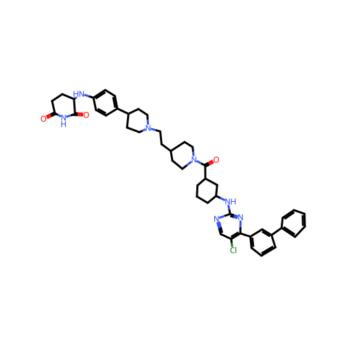 O=C1CCC(Nc2ccc(C3CCN(CCC4CCN(C(=O)C5CCCC(Nc6ncc(Cl)c(-c7cccc(-c8ccccc8)c7)n6)C5)CC4)CC3)cc2)C(=O)N1